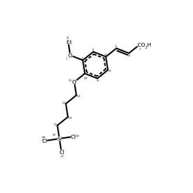 CCOc1cc(C=CC(=O)O)ccc1OCCCC[Si](Cl)(Cl)Cl